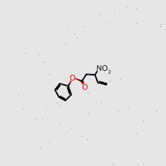 C=CC(CC(=O)Oc1ccccc1)[N+](=O)[O-]